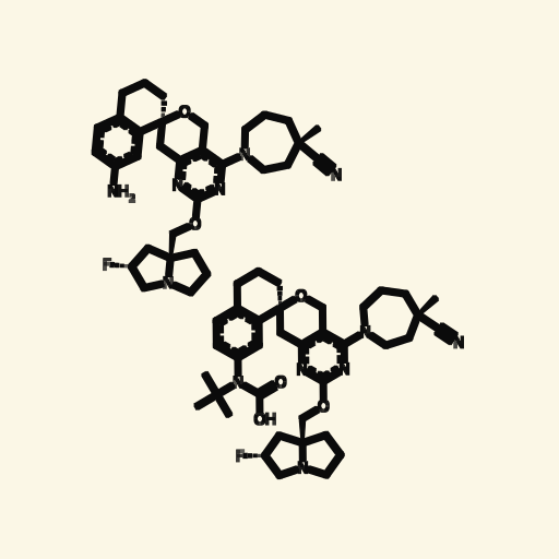 CC(C)(C)N(C(=O)O)c1ccc2c(c1)[C@]1(CCC2)Cc2nc(OC[C@@]34CCCN3C[C@H](F)C4)nc(N3CCC[C@](C)(C#N)CC3)c2CO1.C[C@]1(C#N)CCCN(c2nc(OC[C@@]34CCCN3C[C@H](F)C4)nc3c2CO[C@@]2(CCCc4ccc(N)cc42)C3)CC1